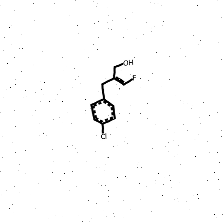 OCC(=CF)Cc1ccc(Cl)cc1